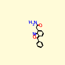 NC(=O)Cc1cccc2c(-c3ccccc3)onc12